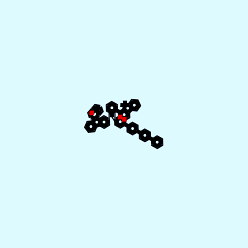 CC1(C)c2ccccc2-c2cccc(-c3ccccc3N(c3ccc(-c4ccc(-c5ccc(-c6ccccc6)cc5)cc4)cc3)c3ccc4c(c3)C3(c5ccccc5-4)C4CC5CC(C4)CC3C5)c21